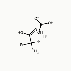 CC(F)(Br)C(=O)O.[Li+].[O-]B(O)O